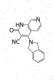 N#Cc1c(N2Cc3ccccc3C2)c2ccncc2[nH]c1=O